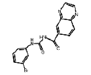 O=C(NC(=O)c1ccc2nccnc2c1)Nc1cccc(Br)c1